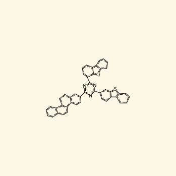 c1ccc2c(c1)ccc1c3ccc(-c4nc(-c5ccc6c(c5)sc5ccccc56)nc(-c5cccc6c5oc5ccccc56)n4)cc3ccc21